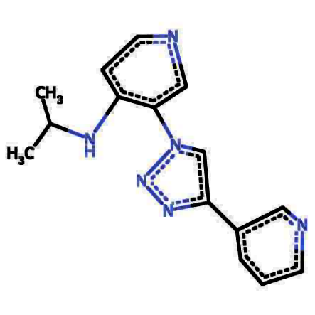 CC(C)Nc1ccncc1-n1cc(-c2cccnc2)nn1